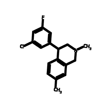 Cc1ccc2c(c1)CN(C)CC2c1cc(F)cc(Cl)c1